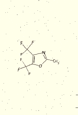 Cc1nc(C(F)(F)F)c(C(F)(F)F)o1